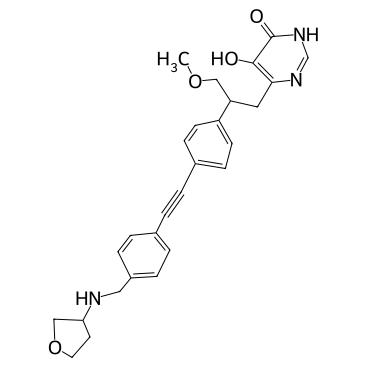 COCC(Cc1nc[nH]c(=O)c1O)c1ccc(C#Cc2ccc(CNC3CCOC3)cc2)cc1